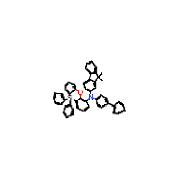 CC1(C)c2ccccc2-c2ccc(N(c3ccc(-c4ccccc4)cc3)c3cccc4c3Oc3ccccc3[Si]4(c3ccccc3)c3ccccc3)cc21